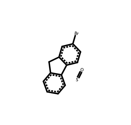 Brc1ccc2c(c1)Cc1ccccc1-2.O=S